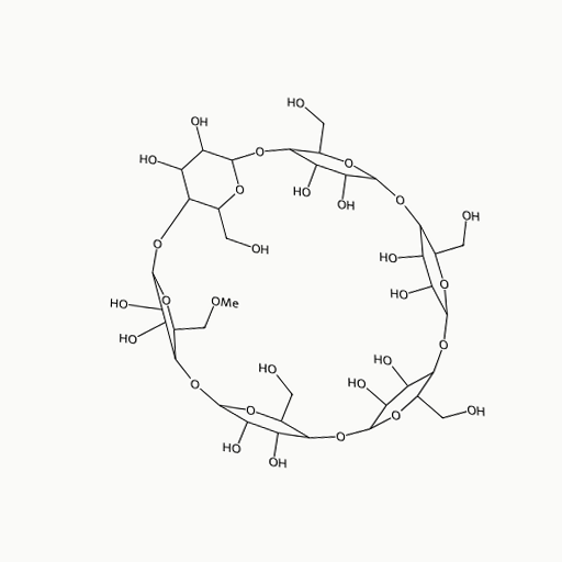 COCC1OC2OC3C(CO)OC(OC4C(CO)OC(OC5C(CO)OC(OC6C(CO)OC(OC7C(CO)OC(OC1C(O)C2O)C(O)C7O)C(O)C6O)C(O)C5O)C(O)C4O)C(O)C3O